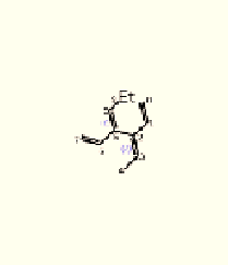 C=CC(=C/C)/C(C=C)=C\CC